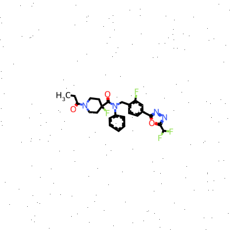 CCC(=O)N1CCC(F)(C(=O)N(Cc2ccc(-c3nnc(C(F)F)o3)cc2F)c2ccccc2)CC1